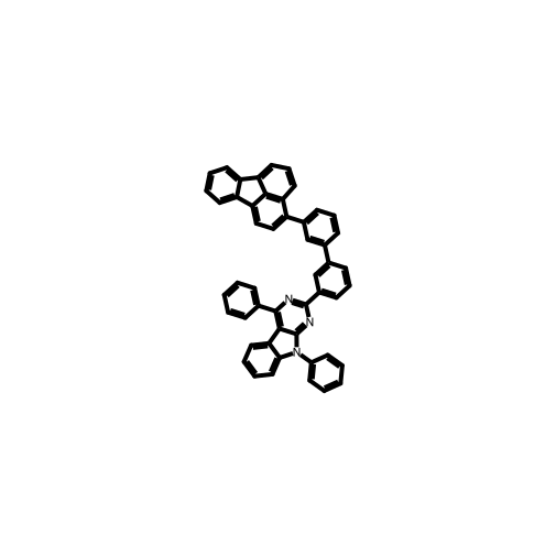 c1ccc(-c2nc(-c3cccc(-c4cccc(-c5ccc6c7c(cccc57)-c5ccccc5-6)c4)c3)nc3c2c2ccccc2n3-c2ccccc2)cc1